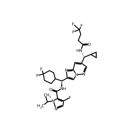 CC(C)n1ncc(F)c1C(=O)N[C@H](c1cn2ncc([C@H](NC(=O)CCC(F)(F)F)C3CC3)cc2n1)C1CCC(F)(F)CC1